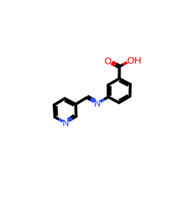 O=C(O)c1cccc(N=Cc2cccnc2)c1